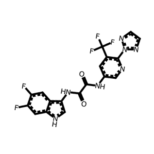 O=C(Nc1cnc(-n2nccn2)c(C(F)(F)F)c1)C(=O)Nc1c[nH]c2cc(F)c(F)cc12